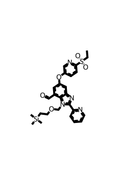 CCS(=O)(=O)c1ccc(Oc2cc(C=O)c3c(c2)nc(-c2ccccn2)n3COCC[Si](C)(C)C)cn1